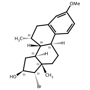 COc1ccc2c(c1)C[C@@H](C)[C@@H]1[C@@H]2CC[C@]2(C)[C@H](Br)[C@@H](O)C[C@@H]12